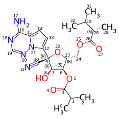 CC(C)C(=O)O[C@H]1[C@@H](O)[C@](C#N)(c2ccc3c(N)ncnn23)O[C@@H]1COC(=O)[C@@H](C)C(C)C